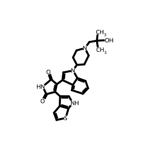 CC(C)(O)CN1CCC(n2cc(C3=C(c4c[nH]c5sccc45)C(=O)NC3=O)c3ccccc32)CC1